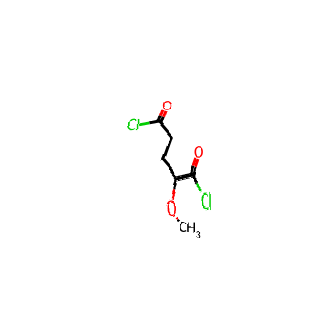 COC(CCC(=O)Cl)C(=O)Cl